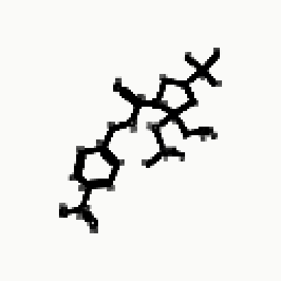 C[SiH](C)O[C@@]1(CN)C[C@H](C(C)(C)C)CN1C(=O)OCc1ccc([N+](=O)[O-])cc1